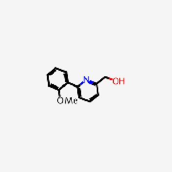 COc1ccccc1-c1cccc(CO)n1